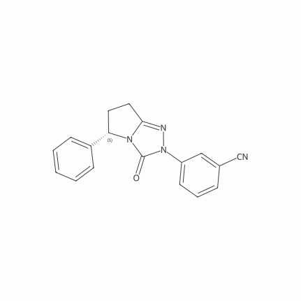 N#Cc1cccc(-n2nc3n(c2=O)[C@H](c2ccccc2)CC3)c1